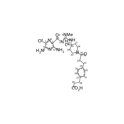 CN/C(=N\C(=O)c1nc(Cl)c(N)nc1N)NC1(C)CCN(C(=O)CCc2ccc(CCC(=O)O)cc2)CC1